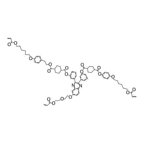 C=CC(=O)OCCCCCCOc1ccc(CCOC(=O)C2CCC(C(=O)Oc3cccc(-c4nc5cc(OCCOCCOC(=O)C=C)ccc5nc4-c4cccc(OC(=O)C5CCC(C(=O)Oc6ccc(OCCCCCCOC(=O)C=C)cc6)CC5)c4)c3)CC2)cc1